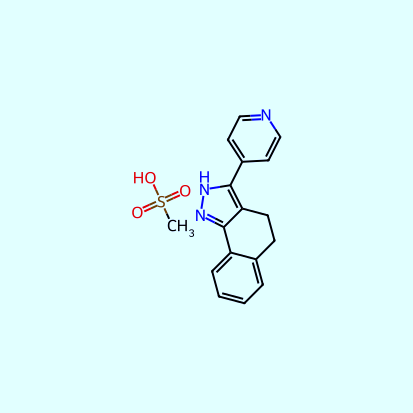 CS(=O)(=O)O.c1ccc2c(c1)CCc1c-2n[nH]c1-c1ccncc1